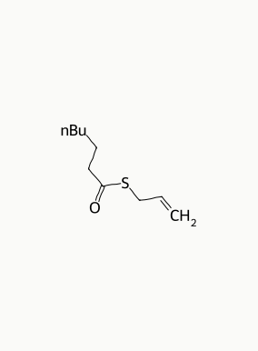 C=CCSC(=O)CCCCCC